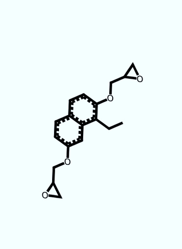 CCc1c(OCC2CO2)ccc2ccc(OCC3CO3)cc12